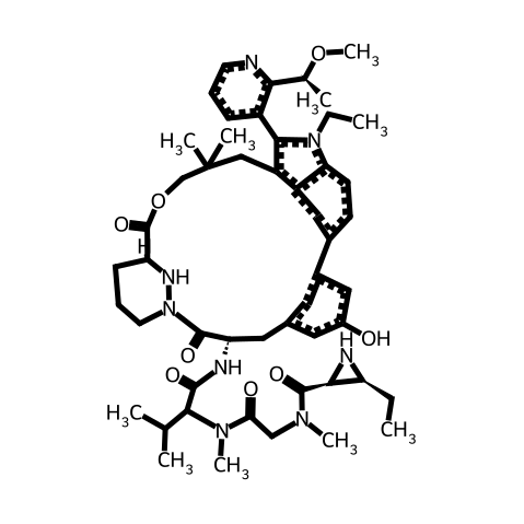 CC[C@@H]1N[C@@H]1C(=O)N(C)CC(=O)N(C)C(C(=O)N[C@H]1Cc2cc(O)cc(c2)-c2ccc3c(c2)c(c(-c2cccnc2[C@H](C)OC)n3CC)CC(C)(C)COC(=O)[C@@H]2CCCN(N2)C1=O)C(C)C